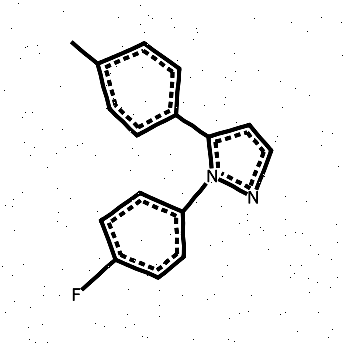 Cc1ccc(-c2ccnn2-c2ccc(F)cc2)cc1